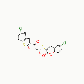 O=C(CC(=O)c1cc2cc(Cl)ccc2sc1=O)Sc1cc2cc(Cl)ccc2oc1=O